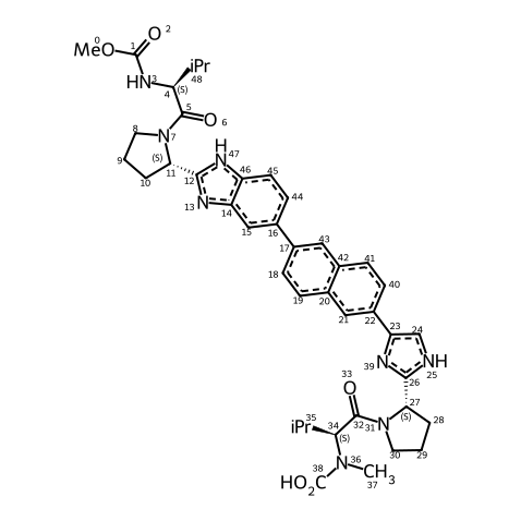 COC(=O)N[C@H](C(=O)N1CCC[C@H]1c1nc2cc(-c3ccc4cc(-c5c[nH]c([C@@H]6CCCN6C(=O)[C@H](C(C)C)N(C)C(=O)O)n5)ccc4c3)ccc2[nH]1)C(C)C